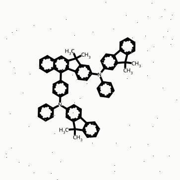 CC1(C)c2ccccc2-c2ccc(N(c3ccccc3)c3ccc(-c4c5c(cc6ccccc46)C(C)(C)c4cc(N(c6ccccc6)c6ccc7c(c6)C(C)(C)c6ccccc6-7)ccc4-5)cc3)cc21